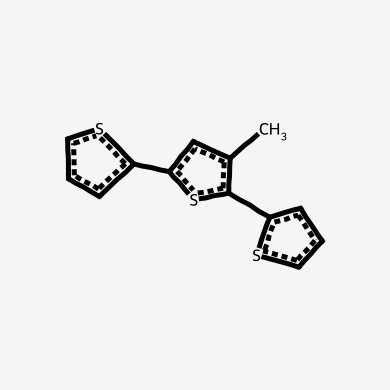 Cc1cc(-c2cccs2)sc1-c1cccs1